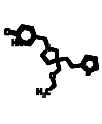 CCOCC1(CCc2cccs2)CCN(Cc2ccc(=O)[nH]c2)C1